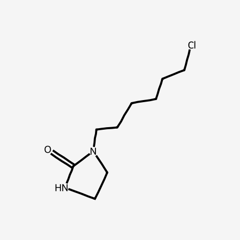 O=C1NCCN1CCCCCCCl